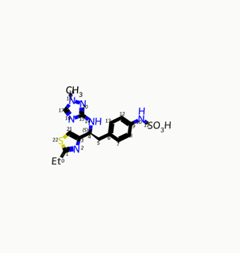 CCc1nc([C@H](Cc2ccc(NS(=O)(=O)O)cc2)Nc2n[c]n(C)n2)cs1